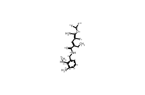 CC/C(=C\C(F)=C(/N)OC(F)F)C(=O)NCc1cccc(N)c1NC